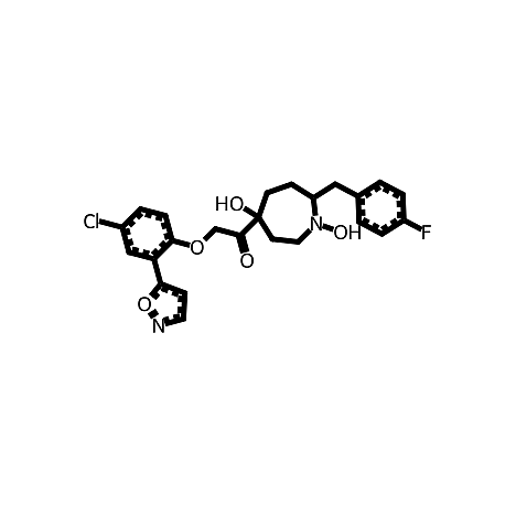 O=C(COc1ccc(Cl)cc1-c1ccno1)C1(O)CCC(Cc2ccc(F)cc2)N(O)CC1